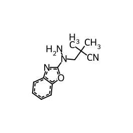 CC(C)(C#N)CN(N)c1nc2ccccc2o1